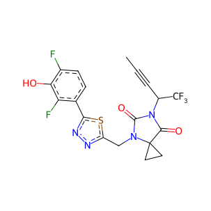 CC#CC(N1C(=O)N(Cc2nnc(-c3ccc(F)c(O)c3F)s2)C2(CC2)C1=O)C(F)(F)F